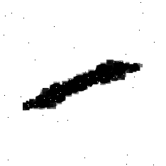 CC(C)c1cc(CN=[N+]=[N-])cc(C(C)C)c1N1C(=O)c2ccc3c4c(ccc(c24)[C@@H]1O)-c1cc2cc4ccc5cc6cc7c(cc6cc5ccc4cc2cc1-3)c1ccc2c(=O)n(-c3c(C(C)C)cc(CN=[N+]=[N-])cc3C(C)C)c(=O)c3ccc7c1c23